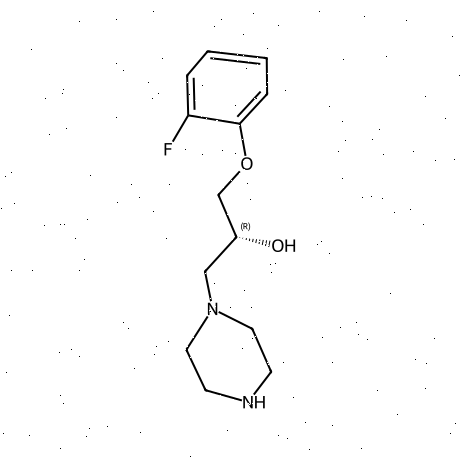 O[C@@H](COc1ccccc1F)CN1CCNCC1